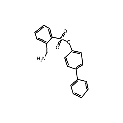 NCc1ccccc1S(=O)(=O)Oc1ccc(-c2ccccc2)cc1